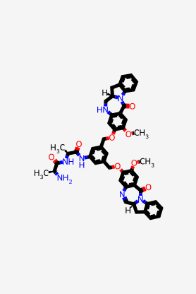 COc1cc2c(cc1OCc1cc(COc3cc4c(cc3OC)C(=O)N3c5ccccc5C[C@H]3CN4)cc(NC(=O)[C@H](C)NC(=O)[C@H](C)N)c1)N=C[C@@H]1Cc3ccccc3N1C2=O